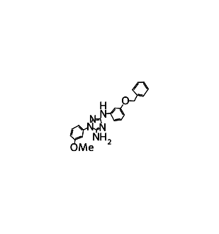 COc1cccc(-n2nc(Nc3cccc(OCc4ccccc4)c3)nc2N)c1